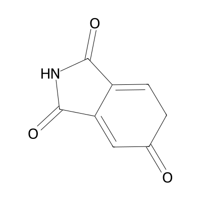 O=C1C=C2C(=O)NC(=O)C2=CC1